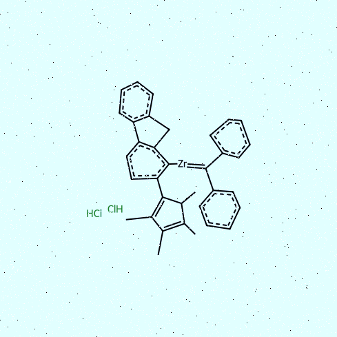 CC1=C(C)C(C)C(c2ccc3c([c]2[Zr]=[C](c2ccccc2)c2ccccc2)Cc2ccccc2-3)=C1C.Cl.Cl